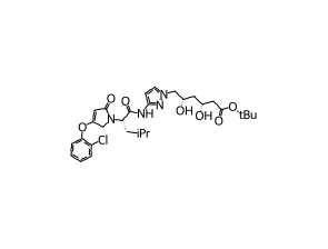 CC(C)C[C@@H](C(=O)Nc1ccn(C[C@@H](O)C[C@@H](O)CC(=O)OC(C)(C)C)n1)N1CC(Oc2ccccc2Cl)=CC1=O